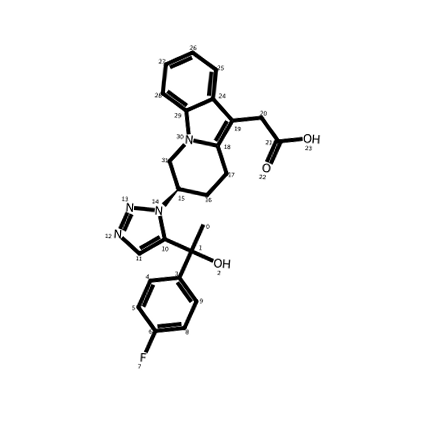 CC(O)(c1ccc(F)cc1)c1cnnn1[C@@H]1CCc2c(CC(=O)O)c3ccccc3n2C1